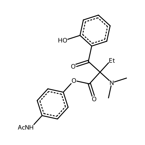 CCC(C(=O)Oc1ccc(NC(C)=O)cc1)(C(=O)c1ccccc1O)N(C)C